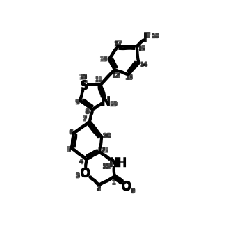 O=C1COc2ccc(-c3csc(-c4ccc(F)cc4)n3)cc2N1